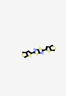 c1c(-c2nc3sc(-c4cc5c(s4)CSC5)nc3s2)sc2c1CSC2